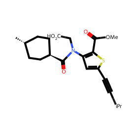 COC(=O)c1sc(C#CC(C)C)cc1N(CC(=O)O)C(=O)[C@H]1CC[C@H](C)CC1